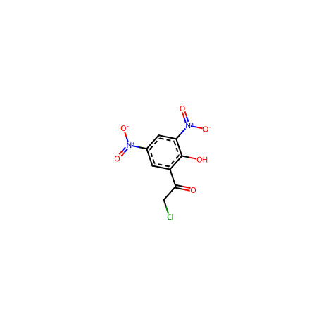 O=C(CCl)c1cc([N+](=O)[O-])cc([N+](=O)[O-])c1O